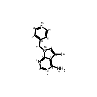 Nc1ncnc2c1c(I)cn2Cc1ccncc1